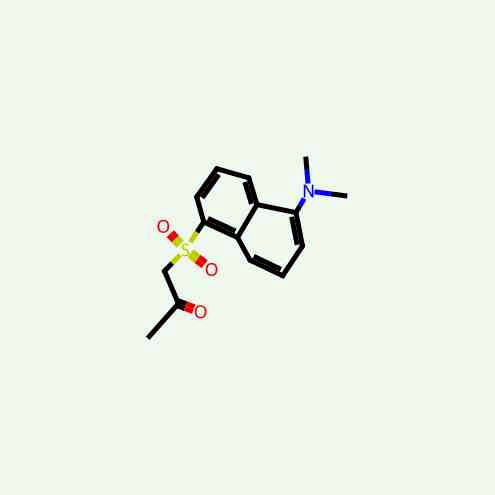 CC(=O)CS(=O)(=O)c1cccc2c(N(C)C)cccc12